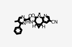 Cc1cnc(C(=O)N[C@@H]2C(=O)N(C)c3ncc(C#N)cc3[C@@H]3C[C@H]23)nc1-c1ccccc1